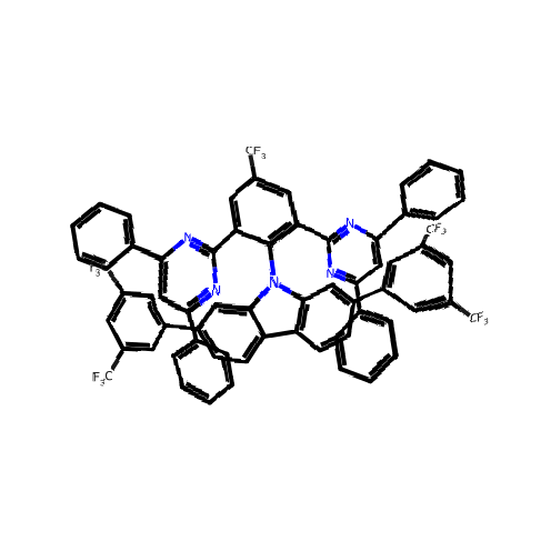 FC(F)(F)c1cc(-c2ccc3c4ccc(-c5cc(C(F)(F)F)cc(C(F)(F)F)c5)cc4n(-c4c(-c5nc(-c6ccccc6)cc(-c6ccccc6)n5)cc(C(F)(F)F)cc4-c4nc(-c5ccccc5)cc(-c5ccccc5)n4)c3c2)cc(C(F)(F)F)c1